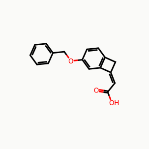 O=C(O)C=C1Cc2ccc(OCc3ccccc3)cc21